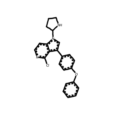 Clc1nccc2c1c(-c1ccc(Oc3ccccc3)cc1)cn2C1CCCN1